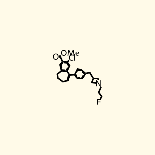 COC(=O)c1cc2c(cc1Cl)C(c1ccc(CC3CN(CCCF)C3)cc1)=CCCC2